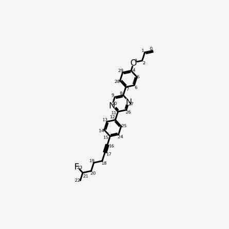 C=CCOc1ccc(-c2cnc(-c3ccc(C#CCCCC(C)F)cc3)cn2)cc1